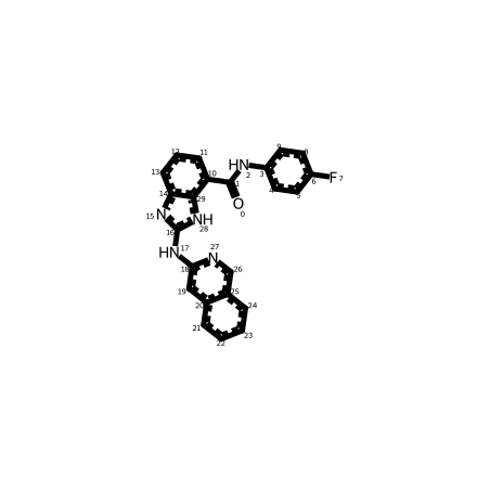 O=C(Nc1ccc(F)cc1)c1cccc2nc(Nc3cc4ccccc4cn3)[nH]c12